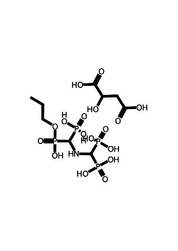 CCCOP(=O)(O)C(NC(P(=O)(O)O)P(=O)(O)O)P(=O)(O)O.O=C(O)CC(O)C(=O)O